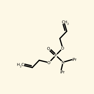 C=CCOP(=O)(OCC=C)N(C(C)C)C(C)C